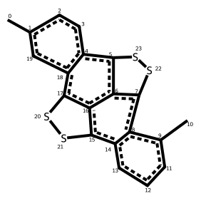 Cc1ccc2c3c4c(c5c(C)cccc5c5c4c(c2c1)SS5)SS3